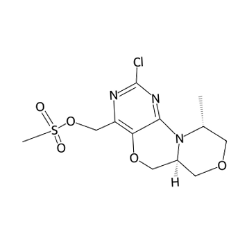 C[C@@H]1COC[C@H]2COc3c(COS(C)(=O)=O)nc(Cl)nc3N21